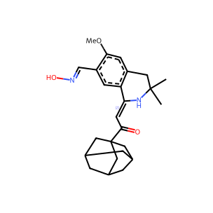 COc1cc2c(cc1C=NO)/C(=C/C(=O)C13CC4CC(CC(C4)C1)C3)NC(C)(C)C2